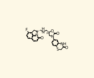 O=C1CSc2ccc(N3C[C@@H](CNC[C@H]4Cc5c(F)ccc6ccc(=O)n4c56)OC3=O)cc2N1